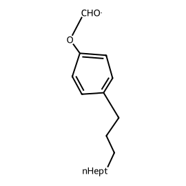 CCCCCCCCCCc1ccc(O[C]=O)cc1